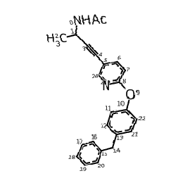 CC(=O)NC(C)C#Cc1ccc(Oc2ccc(Cc3ccccc3)cc2)nc1